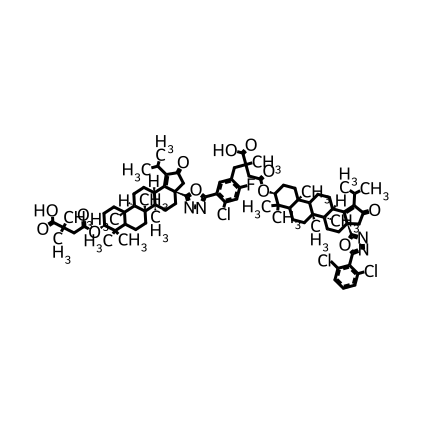 CC(C)C1=C2[C@H]3CCC4[C@@]5(C)CC[C@H](OC(=O)CC(C)(Cc6cc(-c7nnc([C@@]89CC[C@]%10(C)[C@H](CC[C@@H]%11[C@@]%12(C)CC[C@H](OC(=O)CC(C)(C)C(=O)O)C(C)(C)C%12CC[C@]%11%10C)C8=C(C(C)C)C(=O)C9)o7)c(Cl)cc6F)C(=O)O)C(C)(C)C5CC[C@@]4(C)[C@]3(C)CC[C@@]2(c2nnc(-c3c(Cl)cccc3Cl)o2)CC1=O